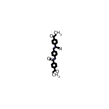 [C-]#[N+]/C(=C\c1ccc(/C=C(\C#N)c2ccc(C(=O)CC)cc2)cc1)c1ccc(C(=O)CC)cc1